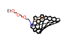 CCOCCOCCOCCN1CC2C3=c4c5c6c7c(cc8cc9cc%10cc%11cc%12c%13c(c4c4c5c5c7c8c7c9c%10c8c%11c%13c4c8c75)=C(C3)C%12)CC62C1c1ccc(-c2cccs2)s1